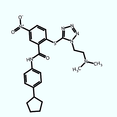 CN(C)CCn1nnnc1Sc1ccc([N+](=O)[O-])cc1C(=O)Nc1ccc(C2CCCC2)cc1